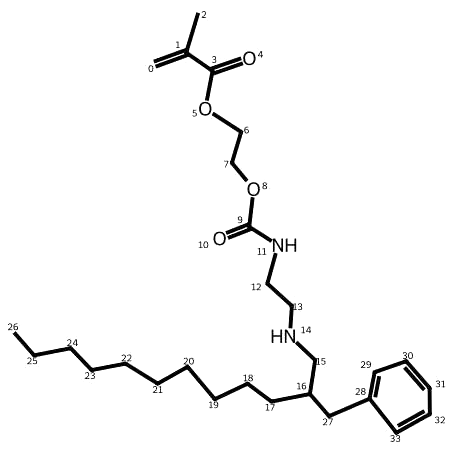 C=C(C)C(=O)OCCOC(=O)NCCNCC(CCCCCCCCCC)Cc1ccccc1